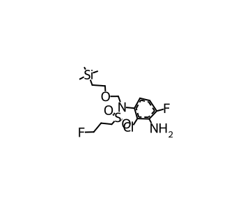 C[Si](C)(C)CCOCN(c1ccc(F)c(N)c1Cl)S(=O)(=O)CCCF